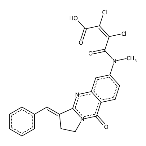 CN(C(=O)/C(Cl)=C(/Cl)C(=O)O)c1ccc2c(=O)n3c(nc2c1)C(=Cc1ccccc1)CC3